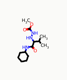 COC(=O)NNC(C(=O)NC1CCCCC1)C(C)C